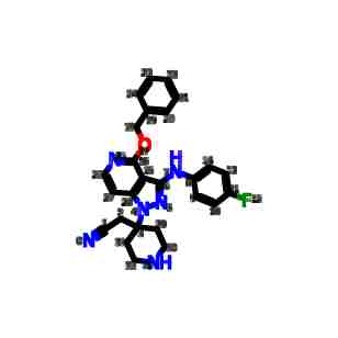 N#CCC1(n2nc(Nc3ccc(F)cc3)c3c(OCc4ccccc4)nccc32)CCNCC1